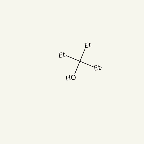 C[CH]C(O)(CC)CC